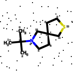 CC(C)(C)N1CC[C@]2(CCSC2)C1